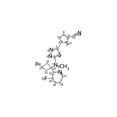 CN(c1nnc(-c2ccc(C#N)s2)s1)C1(c2ncccc2F)CC(F)C1